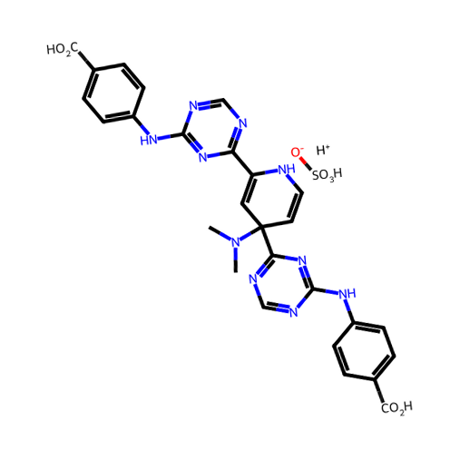 CN(C)C1(c2ncnc(Nc3ccc(C(=O)O)cc3)n2)C=CNC(c2ncnc(Nc3ccc(C(=O)O)cc3)n2)=C1.O=S(=O)([O-])O.[H+]